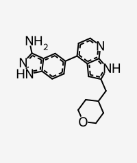 Nc1n[nH]c2ccc(-c3ccnc4[nH]c(CC5CCOCC5)cc34)cc12